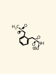 CC(C)(C)NS(=O)(=O)Cc1ccccc1CS(C)(=O)=O